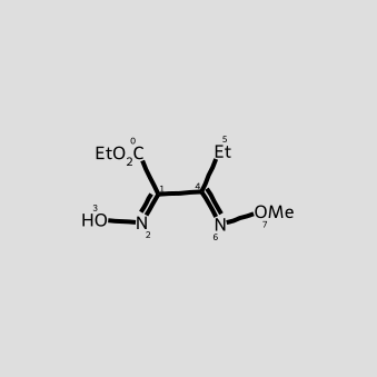 CCOC(=O)C(=N\O)/C(CC)=N/OC